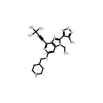 CCn1c(-c2nonc2N)nc2c(C#CC(C)(C)O)nc(OCC3CCNCC3)cc21